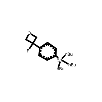 CCC[CH2][Sn]([CH2]CCC)([CH2]CCC)[c]1ccc(C2(F)COC2)cc1